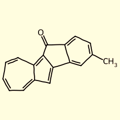 Cc1ccc2c(c1)-c1cc3cccccc-3c1C2=O